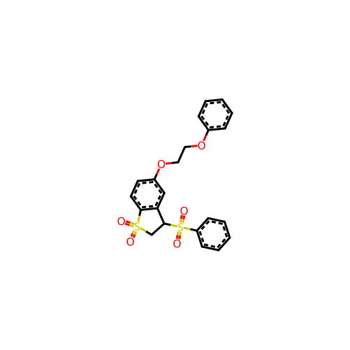 O=S1(=O)CC(S(=O)(=O)c2ccccc2)c2cc(OCCOc3ccccc3)ccc21